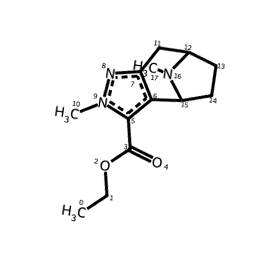 CCOC(=O)c1c2c(nn1C)CC1CCC2N1C